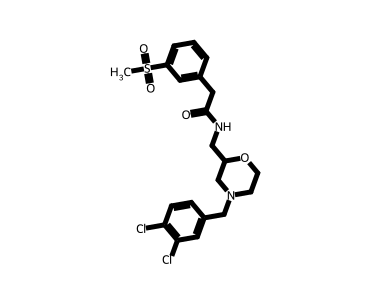 CS(=O)(=O)c1cccc(CC(=O)NCC2CN(Cc3ccc(Cl)c(Cl)c3)CCO2)c1